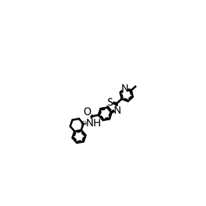 Cc1ccc(-c2nc3ccc(C(=O)N[C@H]4CCCc5ccccc54)cc3s2)cn1